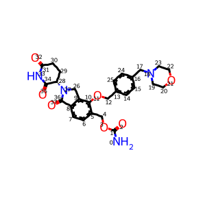 NC(=O)OCc1ccc2c(c1OCc1ccc(CN3CCOCC3)cc1)CN([C@H]1CCC(=O)NC1=O)C2=O